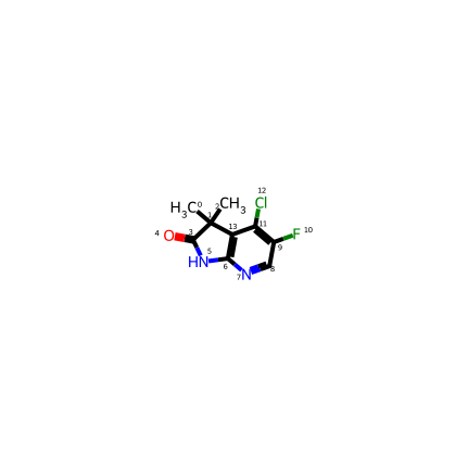 CC1(C)C(=O)Nc2ncc(F)c(Cl)c21